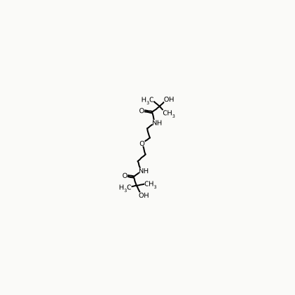 CC(C)(O)C(=O)NCCOCCNC(=O)C(C)(C)O